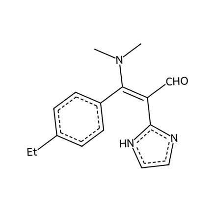 CCc1ccc(C(=C(C=O)c2ncc[nH]2)N(C)C)cc1